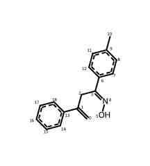 C=C(CC(=NO)c1ccc(C)cc1)c1ccccc1